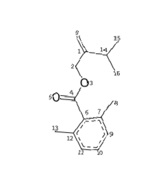 C=C(COC(=O)c1c(C)cccc1C)C(C)C